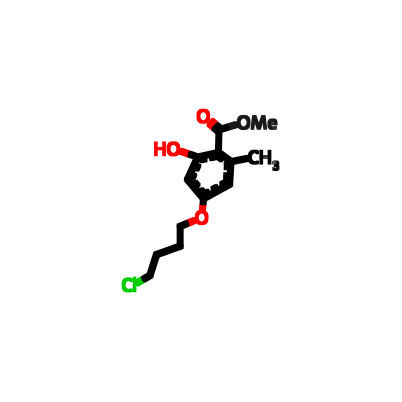 COC(=O)c1c(C)cc(OCCCCCl)cc1O